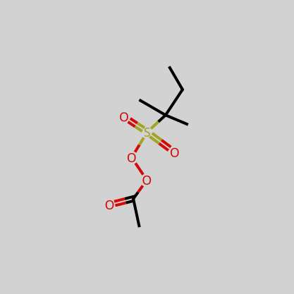 CCC(C)(C)S(=O)(=O)OOC(C)=O